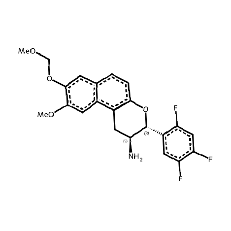 COCOc1cc2ccc3c(c2cc1OC)C[C@H](N)[C@@H](c1cc(F)c(F)cc1F)O3